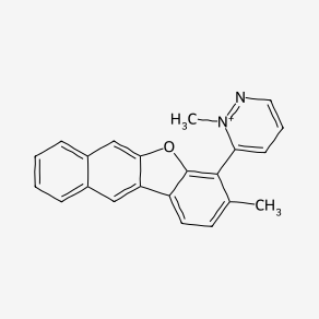 Cc1ccc2c(oc3cc4ccccc4cc32)c1-c1cccn[n+]1C